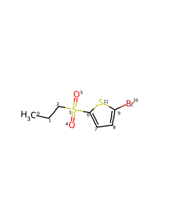 CCCS(=O)(=O)c1ccc(Br)s1